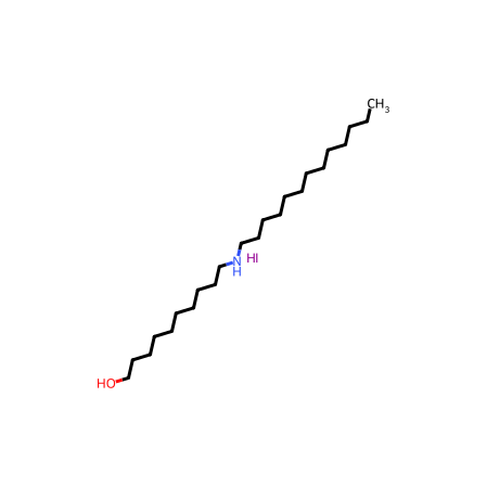 CCCCCCCCCCCCCNCCCCCCCCCCO.I